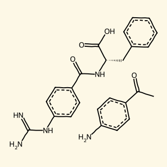 CC(=O)c1ccc(N)cc1.N=C(N)Nc1ccc(C(=O)N[C@@H](Cc2ccccc2)C(=O)O)cc1